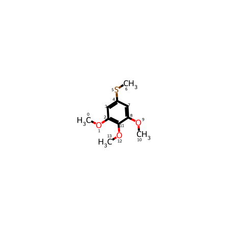 COc1cc(SC)cc(OC)c1OC